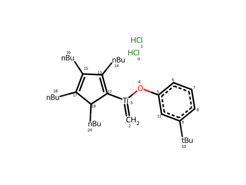 Cl.Cl.[CH2]=[Ti]([O]c1cccc(C(C)(C)C)c1)[C]1=C(CCCC)C(CCCC)=C(CCCC)C1CCCC